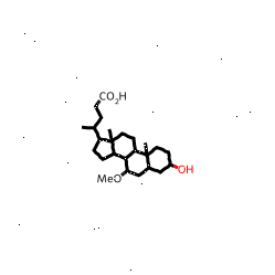 COC1CC2CC(O)CCC2(C)C2CCC3(C)C(C(C)CCC(=O)O)CCC3C12